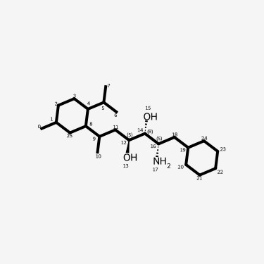 CC1CCC(C(C)C)C(C(C)C[C@H](O)[C@H](O)[C@@H](N)CC2CCCCC2)C1